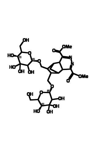 COC(=O)C1=NN=C(C(=O)OC)C2C3CC(C(CO[C@@H]4OC(CO)[C@H](O)C(O)(O)C4O)C3CO[C@@H]3OC(CO)[C@H](O)C(O)(O)C3O)C12